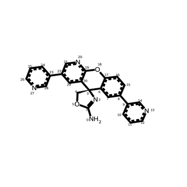 NC1=N[C@@]2(CO1)c1cc(-c3cccnc3)ccc1Oc1ncc(-c3cccnc3)cc12